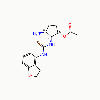 CC(=O)O[C@H]1CC[C@H](N)[C@@H]1NC(=S)Nc1cccc2c1CCO2